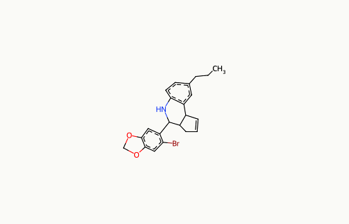 CCCc1ccc2c(c1)C1C=CCC1C(c1cc3c(cc1Br)OCO3)N2